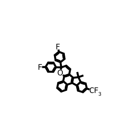 CC1(C)c2cc(C(F)(F)F)ccc2-c2c1c1c(c3ccccc23)OC(c2ccc(F)cc2)(c2ccc(F)cc2)C=C1